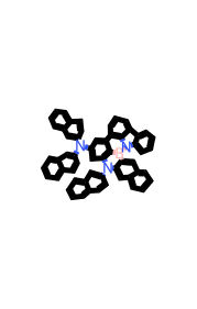 c1ccc2cc(N(c3cc4c5c(c3)N(c3ccc6ccccc6c3)c3cc6ccccc6cc3B5n3c5ccccc5c5cccc-4c53)c3ccc4ccccc4c3)ccc2c1